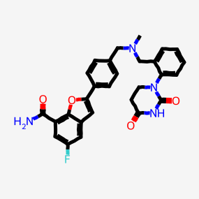 CN(Cc1ccc(-c2cc3cc(F)cc(C(N)=O)c3o2)cc1)Cc1ccccc1N1CCC(=O)NC1=O